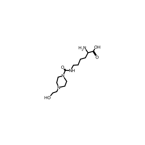 NC(CCCCNC(=O)N1CCN(CCO)CC1)C(=O)O